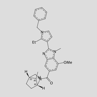 CCc1c(-c2nc3cc(C(=O)N4C[C@H]5CC[C@@H]4[C@@H]5C)cc(OC)c3n2C)ccn1Cc1ccccc1